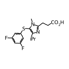 CC(C)c1nc(CCC(=O)O)n(C)c1Sc1cc(F)cc(F)c1